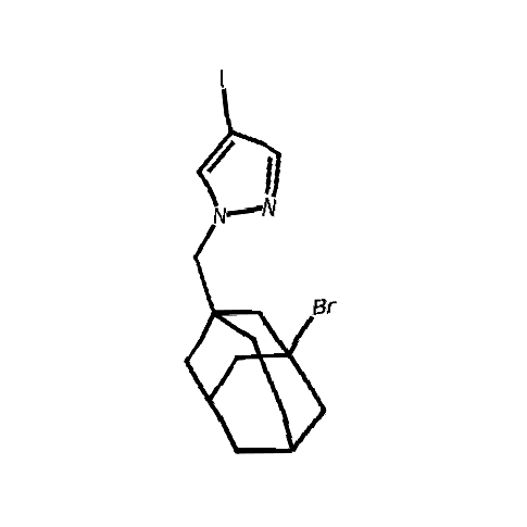 BrC12CC3CC(C1)CC(Cn1cc(I)cn1)(C3)C2